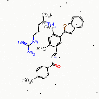 COc1cc(OC)c(-c2cc3ccccc3s2)cc1/C=C/C(=O)c1ccc(C(=O)O)cc1.N=C(N)NCCC[C@H](N)C(=O)O